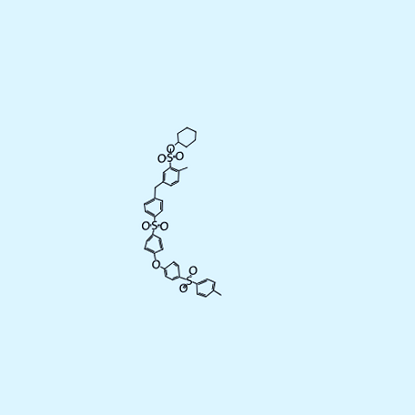 Cc1ccc(S(=O)(=O)c2ccc(Oc3ccc(S(=O)(=O)c4ccc(Cc5ccc(C)c(S(=O)(=O)OC6CCCCC6)c5)cc4)cc3)cc2)cc1